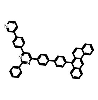 c1ccc(-c2nc(-c3ccc(-c4ccc(-c5c6ccccc6cc6c5ccc5ccccc56)cc4)cc3)cc(-c3ccc(-c4cccnc4)cc3)n2)cc1